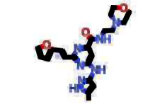 Cc1cc(Nc2cc(C(=O)NCCN3CCOCC3)nc(/C=C/c3ccco3)n2)n[nH]1